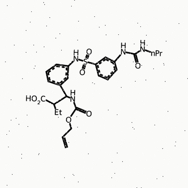 C=CCOC(=O)NC(c1cccc(NS(=O)(=O)c2cccc(NC(=O)NCCC)c2)c1)C(CC)C(=O)O